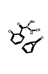 CC(C)(C)N(NC#N)C(=O)c1ccccc1Cl.O=c1c2ccccc12